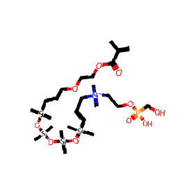 C=C(C)C(=O)OCCOCCC[Si](C)(C)O[Si](C)(C)O[Si](C)(C)O[Si](C)(C)CCC[N+](C)(C)CCOP(=O)(O)CO